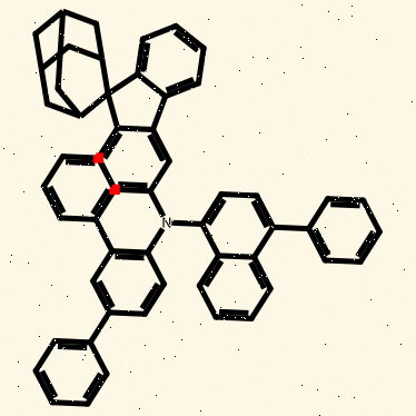 c1ccc(-c2ccc(N(c3ccc4c(c3)-c3ccccc3C43C4CC5CC(C4)CC3C5)c3ccc(-c4ccccc4)c4ccccc34)c(-c3ccccc3)c2)cc1